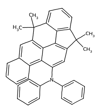 CC1(C)c2cccc3c2-c2c1cc(N(c1ccccc1)c1ccccc1)c1c2c(cc2ccccc21)C3(C)C